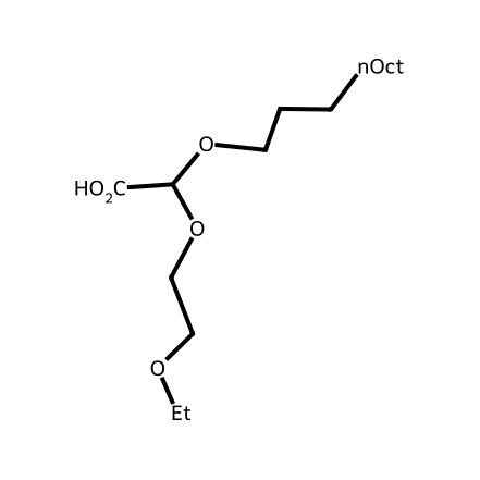 CCCCCCCCCCCOC(OCCOCC)C(=O)O